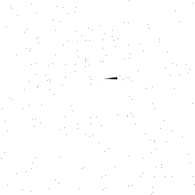 [NH3+][C@@H](Cc1ccccc1)[B-](O)(O)O